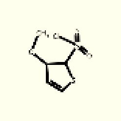 COC1C=CSC1S(=O)(=O)Cl